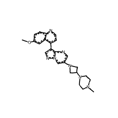 COc1ccc2nccc(-c3cnn4cc(N5CC(N6CCN(C)CC6)C5)cnc34)c2c1